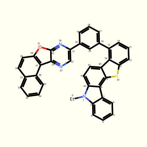 CCn1c2ccccc2c2c3sc4cccc(-c5cccc(-c6cnc7c(n6)oc6ccc8ccccc8c67)c5)c4c3ccc21